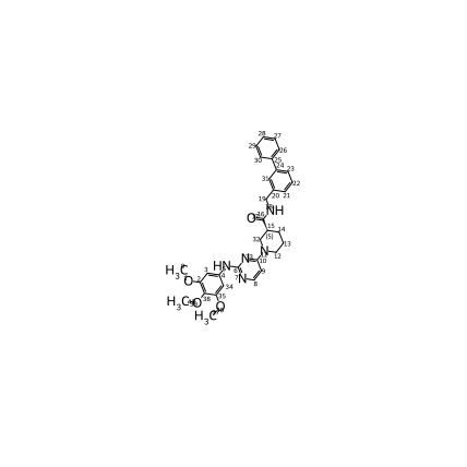 COc1cc(Nc2nccc(N3CCC[C@H](C(=O)NCc4cccc(-c5ccccc5)c4)C3)n2)cc(OC)c1OC